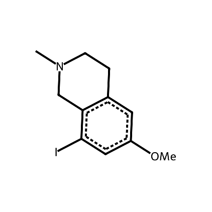 COc1cc(I)c2c(c1)CCN(C)C2